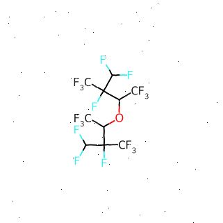 FC(F)C(F)(C(OC(C(F)(F)F)C(F)(C(F)F)C(F)(F)F)C(F)(F)F)C(F)(F)F